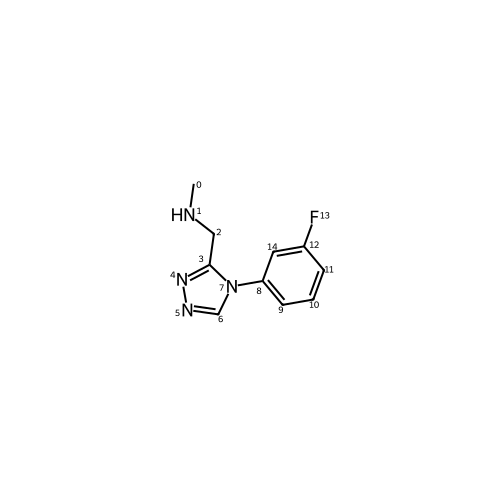 CNCc1nncn1-c1cccc(F)c1